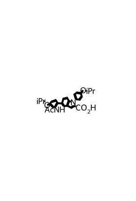 CC(=O)Nc1c(-c2ccc(OC(C)C)cc2)ccc2c1cc(C(=O)O)n2-c1ccc(OC(C)C)cc1